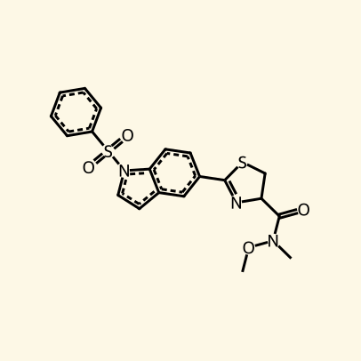 CON(C)C(=O)C1CSC(c2ccc3c(ccn3S(=O)(=O)c3ccccc3)c2)=N1